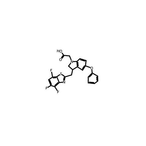 O=C(O)CN1CC(Cc2nc3c(F)c(F)cc(F)c3s2)c2cc(Oc3ccccc3)ccc21